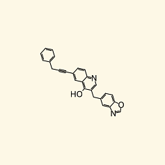 Oc1c(Cc2ccc3ocnc3c2)cnc2ccc(C#CCc3ccccc3)cc12